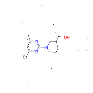 CCc1cc(C)nc(N2CCCC(CO)C2)n1